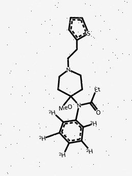 [2H]c1c([2H])c([2H])c(N(C(=O)CC)C2(OC)CCN(CCc3cccs3)CC2)c([2H])c1[2H]